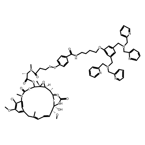 COc1cc2cc(c1Cl)N(C)C(=O)CC(OC(=O)[C@H](C)N(C)C(=O)CCSSc1ccc(C(=O)NCCCCOc3cc(CN(Cc4ccccn4)Cc4ccccn4)cc(CN(Cc4ccccn4)Cc4ccccn4)c3)cc1)[C@]1(C)O[C@H]1[C@H](C)[C@@H]1C[C@@](O)(NC(=O)O1)[C@H](OC)/C=C/C=C(\C)C2